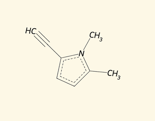 C#Cc1ccc(C)n1C